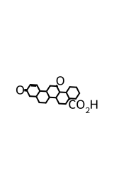 O=C1C=CC2C(CCC3C2CC(=O)C2C3CCC3(C(=O)O)CCCCC23)C1